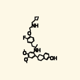 COc1cc(NC(C)Cc2ccc(OCCNCC3CCC3)c(F)c2)c(C2CCc3cc(O)ccc3C2)cc1OC